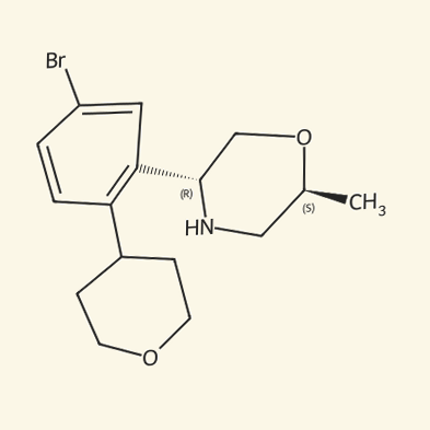 C[C@H]1CN[C@H](c2cc(Br)ccc2C2CCOCC2)CO1